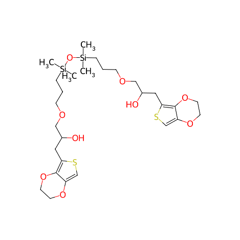 C[Si](C)(CCCOCC(O)Cc1scc2c1OCCO2)O[Si](C)(C)CCCOCC(O)Cc1scc2c1OCCO2